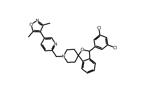 Cc1noc(C)c1-c1ccc(CN2CCC3(CC2)OC(c2cc(Cl)cc(Cl)c2)c2ccccc23)nc1